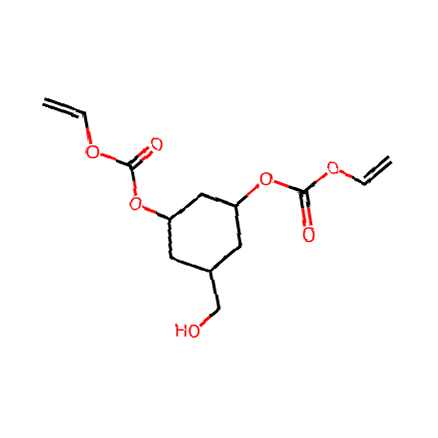 C=COC(=O)OC1CC(CO)CC(OC(=O)OC=C)C1